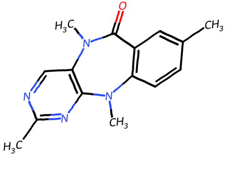 Cc1ccc2c(c1)C(=O)N(C)c1cnc(C)nc1N2C